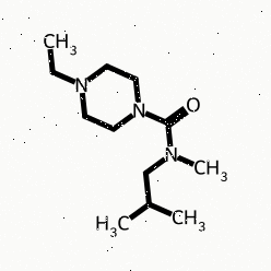 CCN1CCN(C(=O)N(C)CC(C)C)CC1